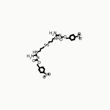 NC(=NC(=O)OCc1ccc([N+](=O)[O-])cc1)NCCCSSCCCNC(N)=NC(=O)OCc1ccc([N+](=O)[O-])cc1